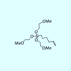 C=CCCCC[Si](OCCOC)(OCCOC)OCCOC